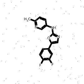 Cc1ccc(Nc2ncc(-c3ccc(F)c(F)c3)o2)cn1